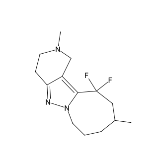 CC1CCCn2nc3c(c2C(F)(F)C1)CN(C)CC3